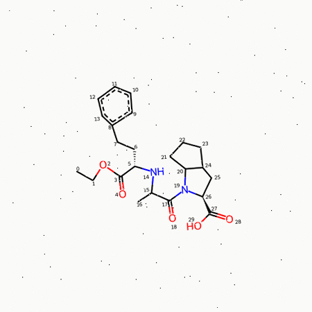 CCOC(=O)[C@H](CCc1ccccc1)NC(C)C(=O)N1C2CCCC2C[C@H]1C(=O)O